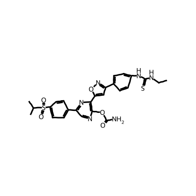 CCNC(=S)Nc1ccc(-c2cc(-c3nc(-c4ccc(S(=O)(=O)C(C)C)cc4)cnc3OC(N)=O)on2)cc1